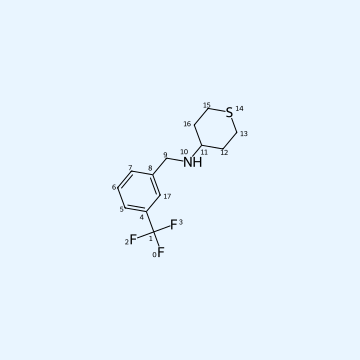 FC(F)(F)c1cccc(CNC2CCSCC2)c1